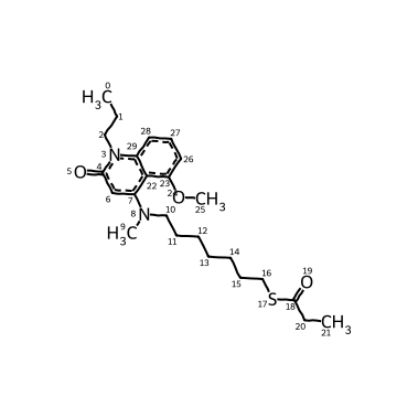 CCCn1c(=O)cc(N(C)CCCCCCCSC(=O)CC)c2c(OC)cccc21